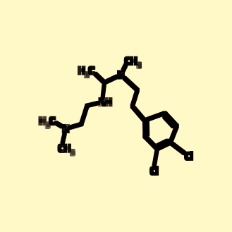 CC(NCCN(C)C)N(C)CCc1ccc(Cl)c(Cl)c1